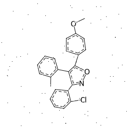 COc1ccc(-c2onc(-c3ccccc3Cl)c2-c2ccccc2C)cc1